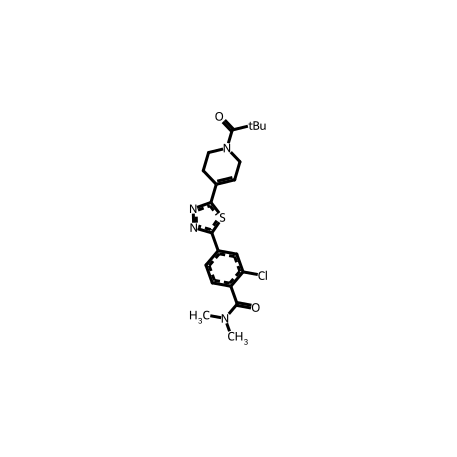 CN(C)C(=O)c1ccc(-c2nnc(C3=CCN(C(=O)C(C)(C)C)CC3)s2)cc1Cl